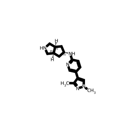 Cc1nn(C)cc1-c1ccc(N[C@@H]2C[C@H]3CNC[C@H]3C2)nc1